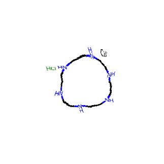 C1CNCCNCCNCCNCCNCCN1.Cl.[Cu]